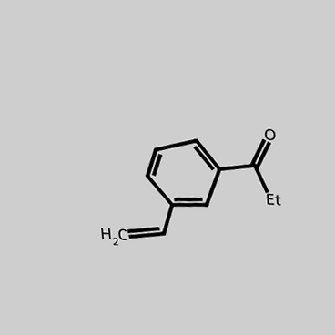 C=Cc1cccc(C(=O)CC)c1